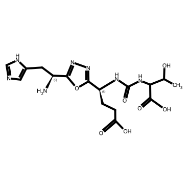 CC(O)C(NC(=O)N[C@@H](CCC(=O)O)c1nnc([C@@H](N)Cc2cnc[nH]2)o1)C(=O)O